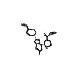 COC(=O)N1CCO[C@H](c2cc(C)nc3cc([C@H]4CC[C@H](C(C)(C)C)CC4)nn23)C1